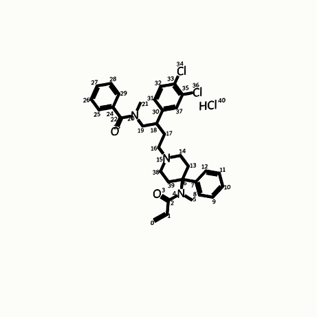 C=CC(=O)N(C)C1(c2ccccc2)CCN(CCC(CN(C)C(=O)c2ccccc2)c2ccc(Cl)c(Cl)c2)CC1.Cl